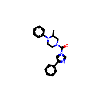 CC1CN(C(=O)n2cnc(-c3ccccc3)c2)CCN1c1ccccc1